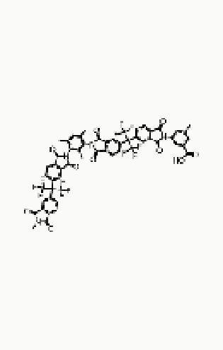 Cc1cc(C(=O)O)cc(N2C(=O)c3ccc(C(c4ccc5c(c4)C(=O)N(c4c(C)cc(C)c(N6C(=O)c7ccc(C(c8ccc9c(c8)C(=O)N(C)C9=O)(C(F)(F)F)C(F)(F)F)cc7C6=O)c4C)C5=O)(C(F)(F)F)C(F)(F)F)cc3C2=O)c1